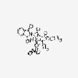 COC(=O)C1N2C(=O)C(N3C(=O)c4ccccc4C3=O)[C@@H]2S[C@@]1(C)CO[N+](=O)[O-]